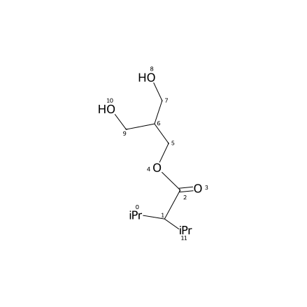 CC(C)C(C(=O)OCC(CO)CO)C(C)C